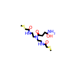 CSCC(=O)NCCN(CCNC(=O)CSC)C(=O)CCC(N)O